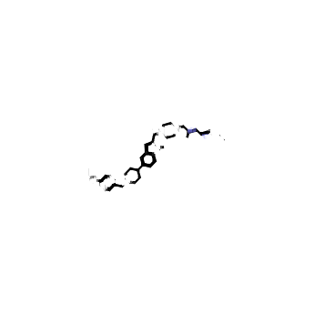 CCOc1cnc(CN2CCC(c3ccc4c(c3)cc(C(=O)N3CCN(C/C(C)=C/C=C(/C#N)CC)CC3)n4C)CC2)cn1